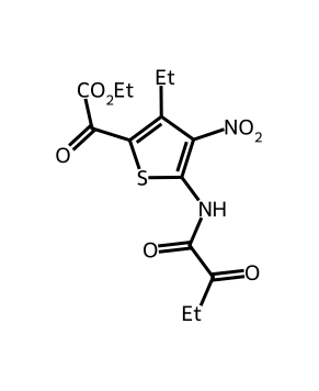 CCOC(=O)C(=O)c1sc(NC(=O)C(=O)CC)c([N+](=O)[O-])c1CC